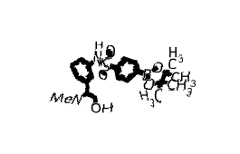 CNC(CO)c1cccc(NS(=O)(=O)c2ccc(B3OC(C)(C)C(C)(C)O3)cc2)c1